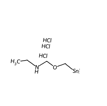 CCNCO[CH2][Sn].Cl.Cl.Cl